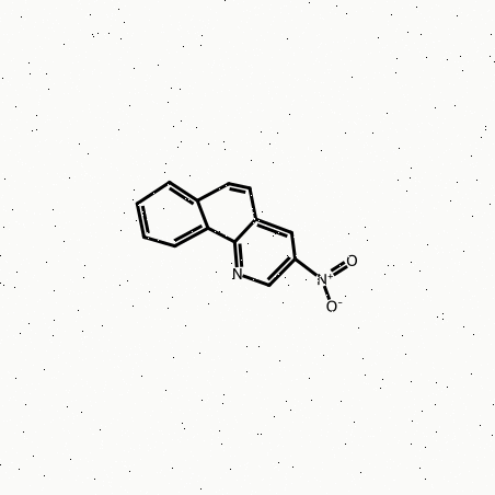 O=[N+]([O-])c1cnc2c(ccc3ccccc32)c1